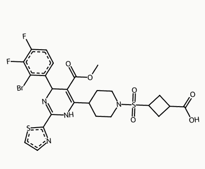 COC(=O)C1=C(C2CCN(S(=O)(=O)C3CC(C(=O)O)C3)CC2)NC(c2nccs2)=NC1c1ccc(F)c(F)c1Br